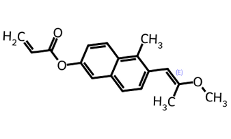 C=CC(=O)Oc1ccc2c(C)c(/C=C(\C)OC)ccc2c1